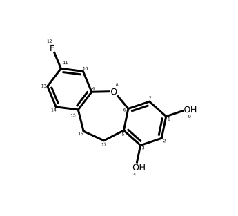 Oc1cc(O)c2c(c1)Oc1cc(F)ccc1CC2